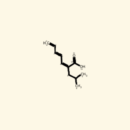 C=CC=CC=C(CC(C)C)C(=O)O